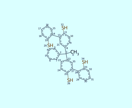 CC(c1ccccc1)(c1ccc(S)c(-c2ccccc2S)c1)c1ccc(S)c(-c2ccccc2S)c1